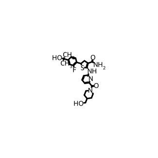 CC(C)(O)c1ccc(C2CC(C(N)=O)=C(Nc3cccc(C(=O)N4CCC(CO)CC4)n3)S2)c(F)c1